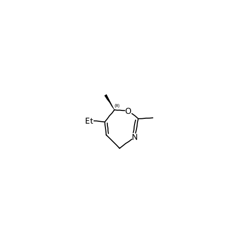 CCC1=CCN=C(C)O[C@@H]1C